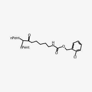 CCCCCC(CCCCC)C(=O)CCCCCNC(=O)OCc1ccccc1Cl